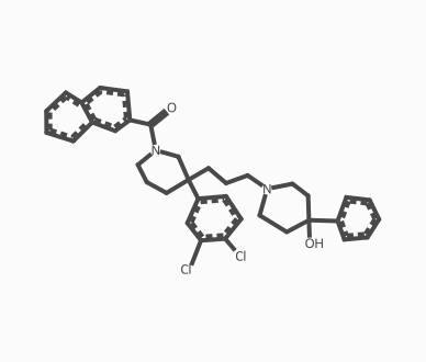 O=C(c1ccc2ccccc2c1)N1CCCC(CCCN2CCC(O)(c3ccccc3)CC2)(c2ccc(Cl)c(Cl)c2)C1